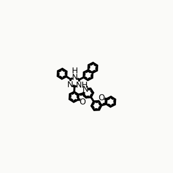 c1ccc(C2N=C(c3cccc4oc5c(-c6cccc7c6oc6ccccc67)ccnc5c34)NC(c3ccc4ccccc4c3)N2)cc1